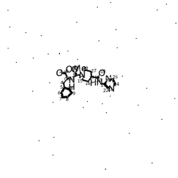 COC(=O)[C@H](Cc1ccccc1)NC(=O)N1CCC(C(=O)Nc2cnccn2)CC1